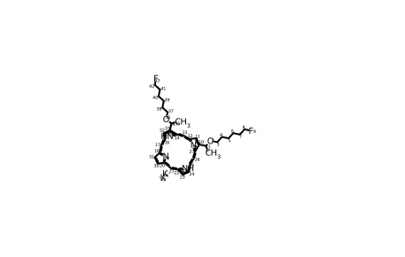 CC(OCCCCCCF)C1=Cc2cc3[nH]c(cc4nc(cc5ccc(cc1n2)[nH]5)C=C4)cc3C(C)OCCCCCCF.[K].[K]